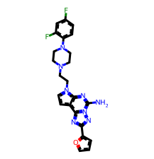 Nc1nc2c(ccn2CCN2CCN(c3ccc(F)cc3F)CC2)c2nc(-c3ccco3)nn12